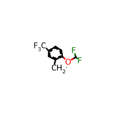 [CH2]c1cc(C(F)(F)F)ccc1OC(F)F